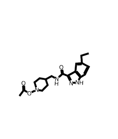 CCc1ccc2[nH]nc(C(=O)NCC3CCN(OC(C)=O)CC3)c2c1